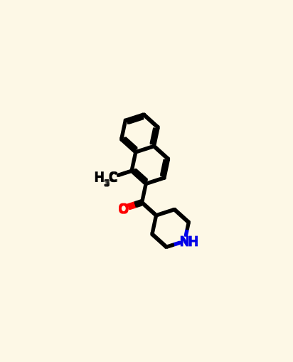 Cc1c(C(=O)C2CCNCC2)ccc2ccccc12